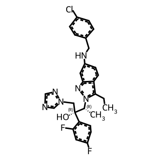 CCc1c2ccc(NCc3ccc(Cl)cc3)cc2nn1[C@H](C)[C@](O)(Cn1cncn1)c1ccc(F)cc1F